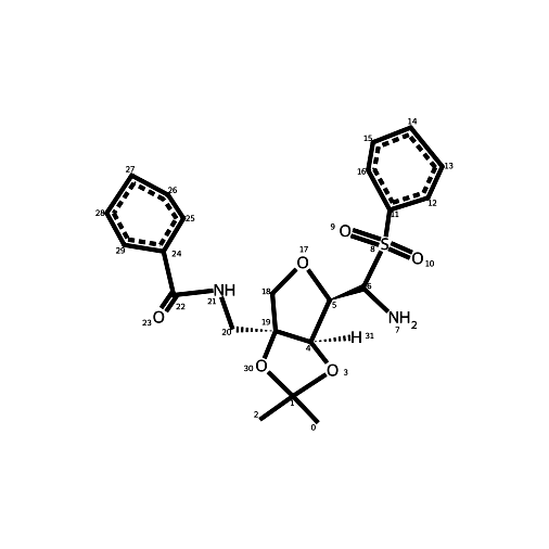 CC1(C)O[C@@H]2[C@H](C(N)S(=O)(=O)c3ccccc3)OC[C@]2(CNC(=O)c2ccccc2)O1